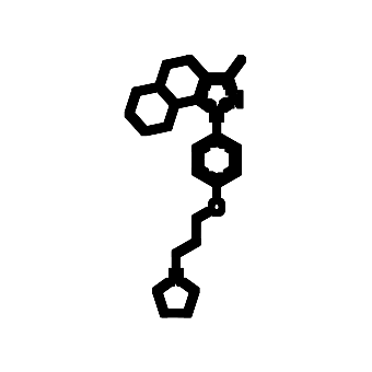 Cc1nn(-c2ccc(OCCCN3CCCC3)cc2)c2c1CCC1CCCCC21